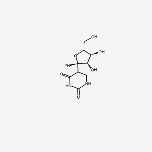 [2H][C@@]1(C2CNC(=O)NC2=O)O[C@H](CO)[C@@H](O)[C@H]1O